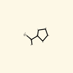 [CH2]C(CC)C1CCCC1